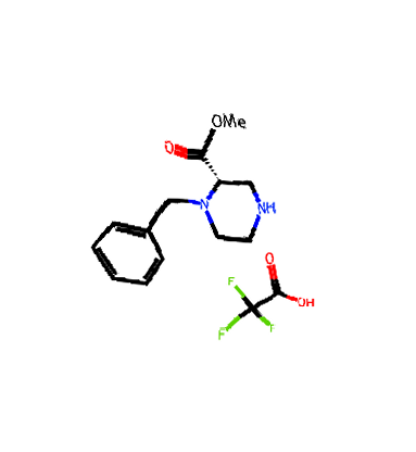 COC(=O)[C@@H]1CNCCN1Cc1ccccc1.O=C(O)C(F)(F)F